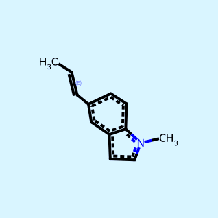 C/C=C/c1ccc2c(ccn2C)c1